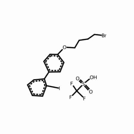 BrCCCCOc1ccc(-c2ccccc2I)cc1.O=S(=O)(O)C(F)(F)F